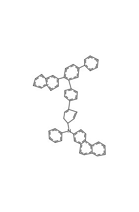 C1=CC(N(c2ccccc2)c2ccc3c(ccc4ccccc43)c2)CC=C1c1ccc(-c2cc(-c3ccccc3)ccc2-c2ccc3ccccc3c2)cc1